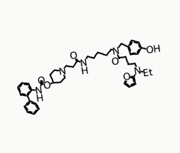 CCN(CCCC(=O)N(CCCCCNC(=O)CCN1CCC(OC(=O)Nc2ccccc2-c2ccccc2)CC1)Cc1ccc(O)cc1)c1ccco1